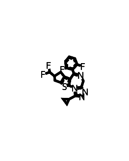 Fc1cccc(F)c1C1=NCc2nnc(C3CC3)n2-c2sc3c(c21)CC(C(F)F)C3